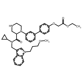 CCOC(=O)COc1ccc(-c2cccc(N3CCNCC3C(=O)N(Cc3cn(CCCOC)c4ccccc34)C3CC3)c2)cc1